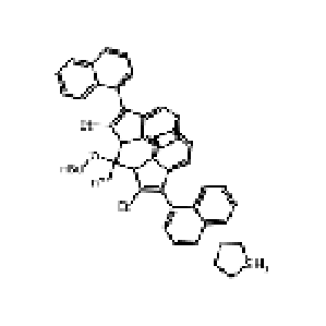 C1CC[SiH2]C1.CCC[CH2][Zr][C](CCC)(C1C(CC)=C(c2cccc3ccccc23)c2ccccc21)C1C(CC)=C(c2cccc3ccccc23)c2ccccc21